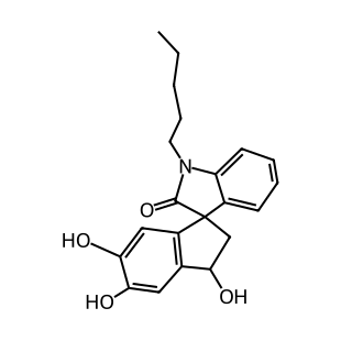 CCCCCN1C(=O)C2(CC(O)c3cc(O)c(O)cc32)c2ccccc21